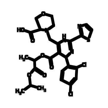 CC(C)OC(=O)C(C)OC(=O)C1=C(CN2CCOCC2C(=O)O)NC(c2nccs2)=NC1c1ccc(Cl)cc1Cl